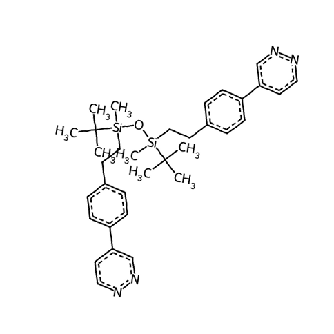 CC(C)(C)[Si](C)(CCc1ccc(-c2ccnnc2)cc1)O[Si](C)(CCc1ccc(-c2ccnnc2)cc1)C(C)(C)C